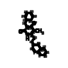 Cc1c(SCc2ccc3ccccc3c2)[nH]c(=O)n(Cc2ccccc2)c1=O